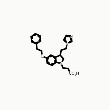 O=C(O)CCN1CC(CCn2ccnc2)c2cc(OCCc3ccccc3)ccc21